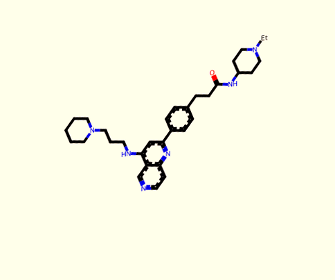 CCN1CCC(NC(=O)CCc2ccc(-c3cc(NCCCN4CCCCC4)c4cnccc4n3)cc2)CC1